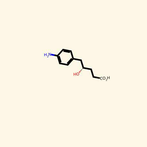 Nc1ccc(C[C@@H](O)CCC(=O)O)cc1